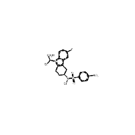 CCC(C(=O)O)n1c2c(c3cc(F)ccc31)C[C@@H](N(CC)S(=O)(=O)c1ccc([N+](=O)[O-])cc1)CC2